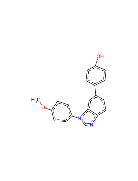 COc1ccc(-n2cnc3ccc(-c4ccc(O)cc4)cc32)cc1